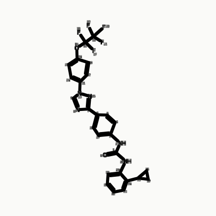 O=C(Nc1ccc(-c2ncn(-c3ccc(OC(F)(F)C(F)(F)F)cc3)n2)cc1)Nc1ccccc1C1CC1